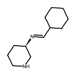 C(=N[C@@H]1CCCNC1)C1CCCCC1